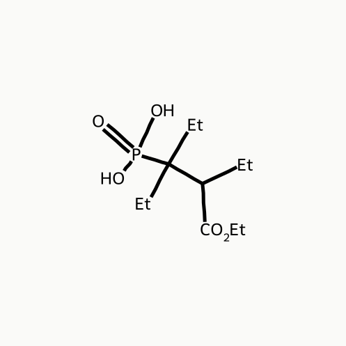 CCOC(=O)C(CC)C(CC)(CC)P(=O)(O)O